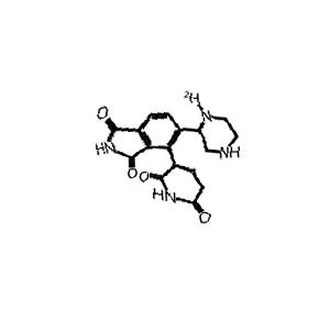 [2H]N1CCNCC1c1ccc2c(c1C1CCC(=O)NC1=O)C(=O)NC2=O